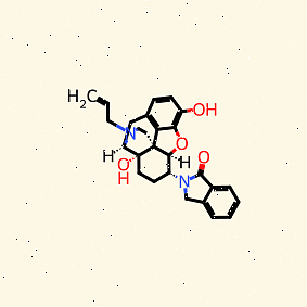 C=CCN1CC[C@]23c4c5ccc(O)c4O[C@H]2[C@H](N2Cc4ccccc4C2=O)CC[C@@]3(O)[C@H]1C5